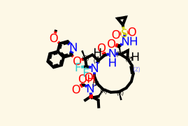 CCC(C)N(C(=O)O)[C@@H]1C(=O)N2[C@@H](C[C@@](C)(Oc3ncc(OC)c4ccccc34)C2(F)F)C(=O)N[C@]2(C(=O)NS(=O)(=O)C3CC3)C[C@H]2/C=C\CC[C@@H](C)C[C@H]1CC